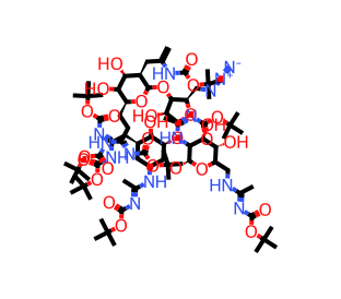 C=C(C[C@H]1C(OC2[C@@H](CN=[N+]=[N-])O[C@@H](O[C@@H]3C(O)[C@H](C/C(=N\C(=O)OC(C)(C)C)NC(=O)OC(C)(C)C)CC(N/C(C)=N/C(=O)OC(C)(C)C)[C@H]3O[C@H]3OC(CN/C(C)=N/C(=O)OC(C)(C)C)[C@@H](O)[C@H](O)C3N/C(C)=N\C(=O)OC(C)(C)C)[C@H]2O)O[C@@H](CC/C(=N\C(=O)OC(C)(C)C)NC(=O)OC(C)(C)C)C(O)[C@H]1O)NC(=O)OC(C)(C)C